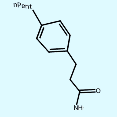 CCCCCc1ccc(CCC([NH])=O)cc1